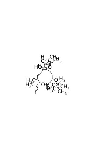 CC[Si](CC)(CC)O[C@]1(C)CCC(O[Si](C)(C)C(C)(C)C)CC(=O)O[C@H](/C(C)=C/I)[C@@H](C)/C=C/[C@@H]1O